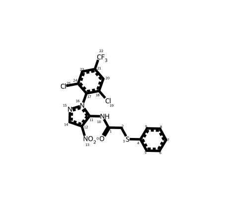 O=C(CSc1ccccc1)Nc1c([N+](=O)[O-])cnn1-c1c(Cl)cc(C(F)(F)F)cc1Cl